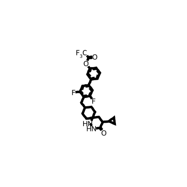 O=C1NNC2(CCC(Cc3c(F)cc(-c4cccc(OC(=O)C(F)(F)F)c4)cc3F)CC2)CC1C1CC1